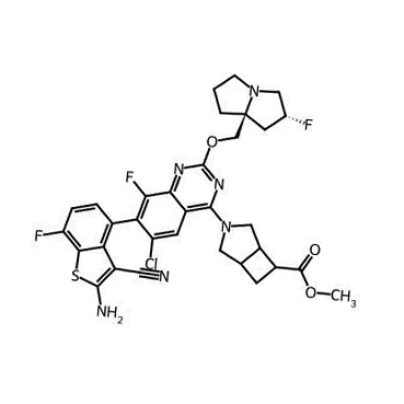 COC(=O)C1CC2CN(c3nc(OC[C@@]45CCCN4C[C@H](F)C5)nc4c(F)c(-c5ccc(F)c6sc(N)c(C#N)c56)c(Cl)cc34)CC21